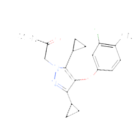 CNC(=O)Cn1nc(C2CC2)c(Oc2ccc(C#N)c(Cl)c2)c1C1CC1